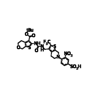 CC(C)(C)OC(=O)c1c(NC(=O)NCc2c(C(F)(F)F)sc3c2CCN(c2ccc(S(=O)(=O)O)cc2[N+](=O)[O-])C3)sc2c1CCOC2